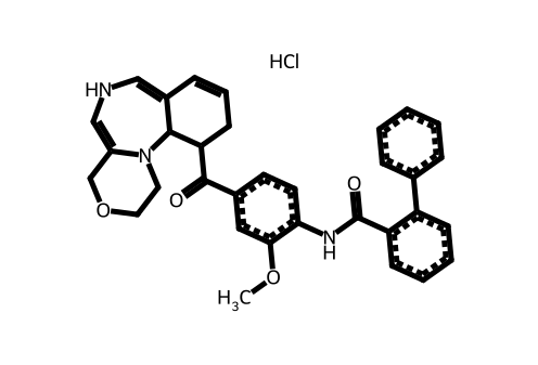 COc1cc(C(=O)C2CC=CC3=CNC=C4COCCN4C32)ccc1NC(=O)c1ccccc1-c1ccccc1.Cl